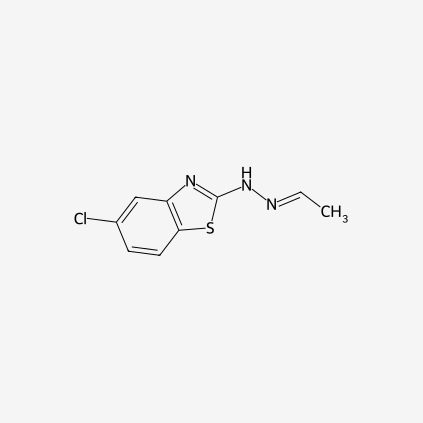 CC=NNc1nc2cc(Cl)ccc2s1